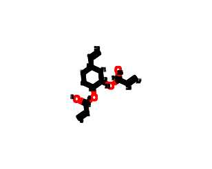 C=CC(=O)OC1CCC(C=C)CC1OC(=O)C=C